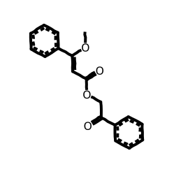 COC(=CC(=O)OCC(=O)c1ccccc1)c1ccccc1